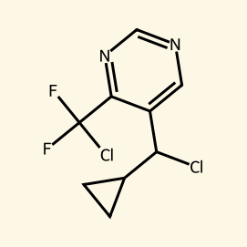 FC(F)(Cl)c1ncncc1C(Cl)C1CC1